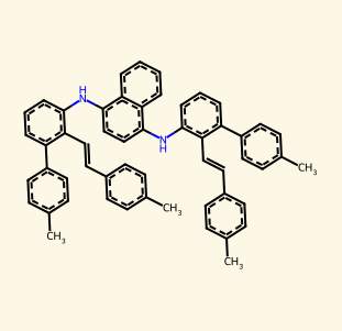 Cc1ccc(C=Cc2c(Nc3ccc(Nc4cccc(-c5ccc(C)cc5)c4C=Cc4ccc(C)cc4)c4ccccc34)cccc2-c2ccc(C)cc2)cc1